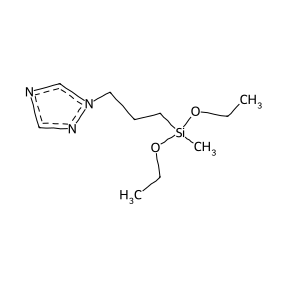 CCO[Si](C)(CCCn1cncn1)OCC